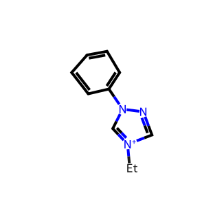 CC[n+]1cnn(-c2ccccc2)c1